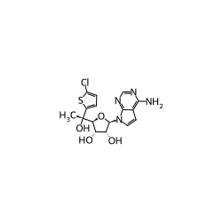 C[C@@](O)(c1ccc(Cl)s1)[C@H]1O[C@@H](n2ccc3c(N)ncnc32)[C@H](O)[C@@H]1O